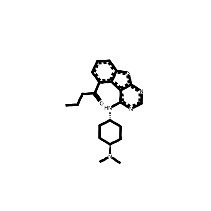 CCCC(=O)c1cccc2sc3ncnc(N[C@H]4CC[C@H](N(C)C)CC4)c3c12